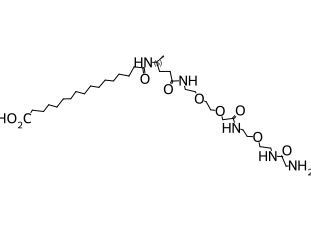 C[C@@H](CCC(=O)NCCOCCOCC(=O)NCCOCCNC(=O)CN)NC(=O)CCCCCCCCCCCCCCCC(=O)O